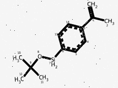 C=C(C)c1ccc([SiH2]OC(C)(C)C)cc1